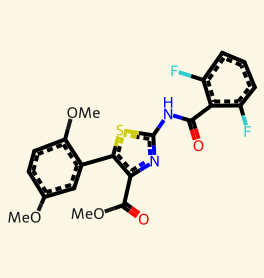 COC(=O)c1nc(NC(=O)c2c(F)cccc2F)sc1-c1cc(OC)ccc1OC